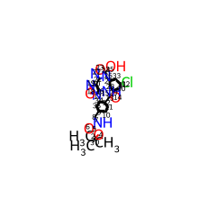 CC(C)(C)OC(=O)NCc1ccc(C(=O)Nc2nonc2C2=NOC(O)N2c2cccc(Cl)c2)cc1